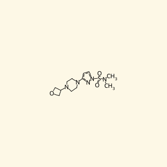 CN(C)S(=O)(=O)n1ccc(N2CCN(C3COC3)CC2)n1